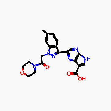 Cc1ccc2c(-c3cnc4[nH]cc(C(=O)O)c4n3)nn(CC(=O)N3CCOCC3)c2c1